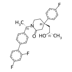 C[C@H](O)C[C@]1(c2ccc(F)cc2)CCN([C@@H](C)c2ccc(-c3ccc(F)cc3F)cc2)C(=O)C1